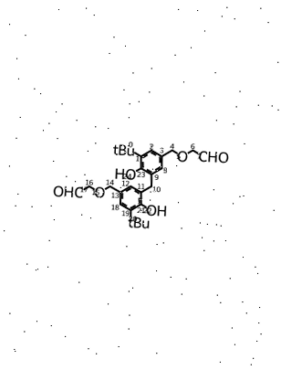 CC(C)(C)c1cc(COCC=O)cc(Cc2cc(COCC=O)cc(C(C)(C)C)c2O)c1O